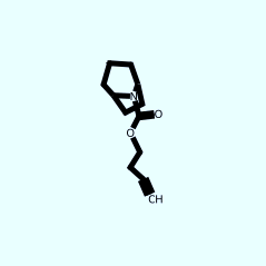 C#CCCOC(=O)N1C2C[CH]CC1CC2